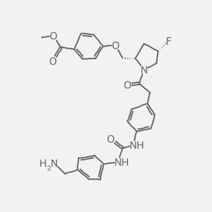 COC(=O)c1ccc(OC[C@@H]2C[C@H](F)CN2C(=O)Cc2ccc(NC(=O)Nc3ccc(CN)cc3)cc2)cc1